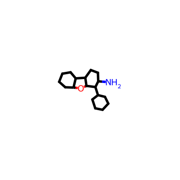 NC1CCC2C3CCCCC3OC2C1C1CCCCC1